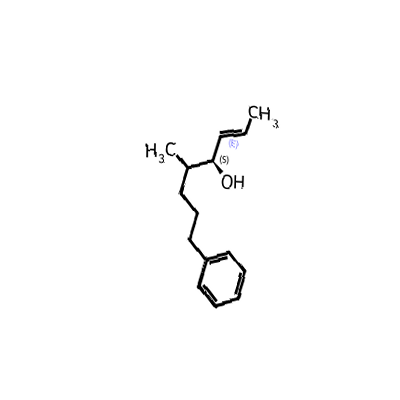 C/C=C/[C@@H](O)C(C)CCCc1ccccc1